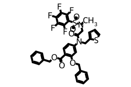 CN(CC(=O)N(Cc1cccs1)c1ccc(C(=O)OCc2ccccc2)c(OCc2ccccc2)c1)S(=O)(=O)c1c(F)c(F)c(F)c(F)c1F